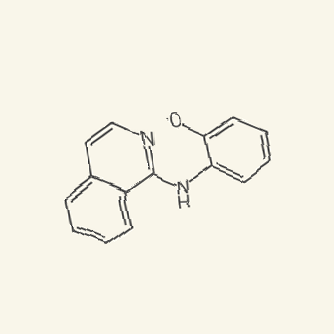 [O]c1ccccc1Nc1nccc2ccccc12